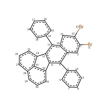 Brc1cc2c(-c3ccccc3)c3c(c(-c4ccccc4)c2cc1Br)-c1cccc2cccc-3c12